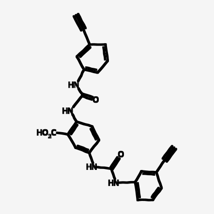 C#Cc1cccc(NC(=O)Nc2ccc(NC(=O)Nc3cccc(C#C)c3)c(C(=O)O)c2)c1